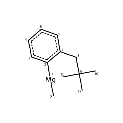 [CH3][Mg][c]1ccccc1CC(C)(C)C